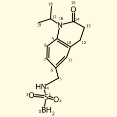 BS(=O)(=O)NCc1ccc2c(c1)CCC(=O)N2C(C)C